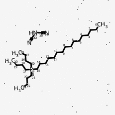 CCCCCCCCCCCCCCCC[PH](CCCC)(CCCC)CCCC.N#CNC#N